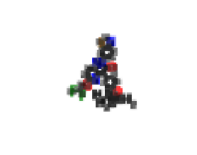 BC(B)(B)Oc1ccc(-c2c(=O)n(-c3ccc4ncsc4c3)nc3ccc(OCC(F)F)nc23)cc1